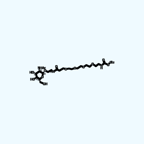 CC(=O)N[C@@H]1[C@H](OCCNC(=O)CCOCCOCCOCCOCCNC(=O)OC(C)(C)C)O[C@H](CO)[C@@H](O)[C@@H]1O